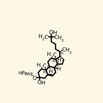 CCCCCOC1(O)CC[C@@]2(C)C(=CC[C@H]3[C@@H]4CC[C@H]([C@H](C)CCCC(C)(C)O)[C@@]4(C)CC[C@@H]32)C1